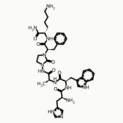 C[C@H](NC(=O)[C@@H](Cc1c[nH]c2ccccc12)NC(=O)[C@@H](N)Cc1cnc[nH]1)C(=O)NN1CCN([C@H](Cc2ccccc2)C(=O)N[C@@H](CCCCN)C(N)=O)C1=O